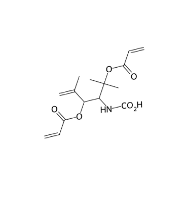 C=CC(=O)OC(C(=C)C)C(NC(=O)O)C(C)(C)OC(=O)C=C